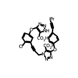 CC(C)C#Cc1ccc(Oc2nnn(CC#Cc3cc(Oc4nn[nH]c4C(=O)O)ccc3Cl)c2C(=O)O)cc1